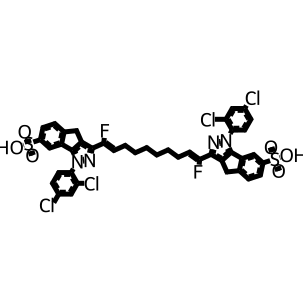 O=S(=O)(O)c1ccc2c(c1)-c1c(c(/C(F)=C/CCCCCC/C=C(\F)c3nn(-c4ccc(Cl)cc4Cl)c4c3Cc3ccc(S(=O)(=O)O)cc3-4)nn1-c1ccc(Cl)cc1Cl)C2